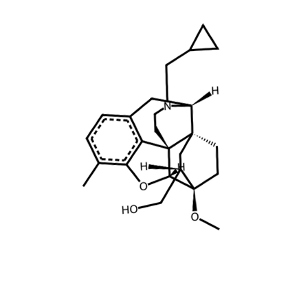 CO[C@]12CC[C@@]3(C[C@H]1CO)[C@H]1Cc4ccc(C)c5c4[C@@]3(CCN1CC1CC1)[C@H]2O5